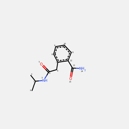 CC(C)NC(=O)Cc1ccccc1C(N)=O